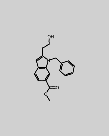 COC(=O)c1ccc2cc(CCO)n(Cc3ccccc3)c2c1